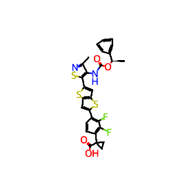 Cc1nsc(-c2cc3sc(-c4ccc(C5(C(=O)O)CC5)c(F)c4F)cc3s2)c1NC(=O)O[C@H](C)c1ccccc1